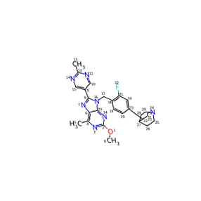 COc1nc(C)c2nc(-c3cnc(C)nc3)n(Cc3ccc(C4CN5CCC4CC5)cc3F)c2n1